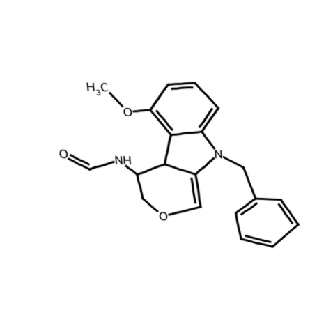 COc1cccc2c1C1C(=COCC1NC=O)N2Cc1ccccc1